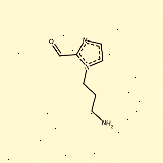 NCCCn1ccnc1C=O